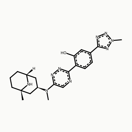 CN(c1cnc(-c2ccc(-c3nnn(C)n3)cc2O)nn1)[C@@H]1C[C@H]2CCC[C@@](C)(C1)N2